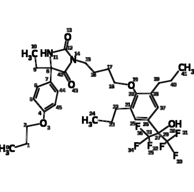 CCCOc1ccc(C2(CC)NC(=O)N(CCCCOc3c(CCC)cc(C(O)(C(F)(F)F)C(F)(F)F)cc3CCC)C2=O)cc1